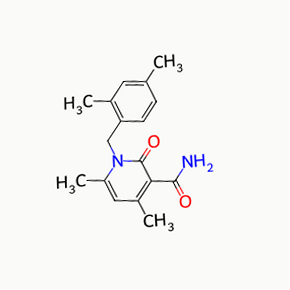 Cc1ccc(Cn2c(C)cc(C)c(C(N)=O)c2=O)c(C)c1